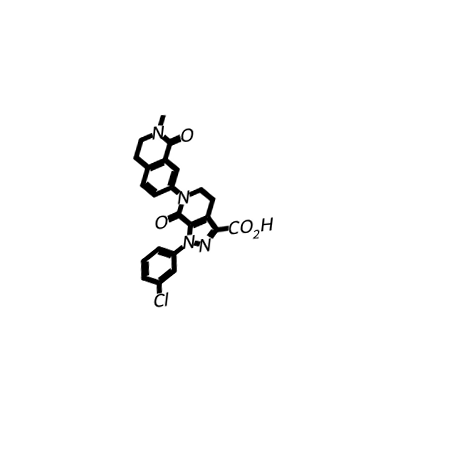 CN1CCc2ccc(N3CCc4c(C(=O)O)nn(-c5cccc(Cl)c5)c4C3=O)cc2C1=O